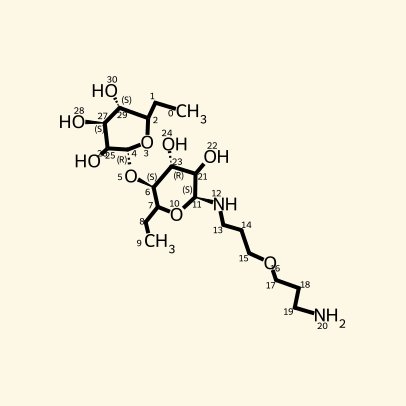 CCC1O[C@H](O[C@@H]2C(CC)O[C@H](NCCCOCCCN)C(O)[C@H]2O)C(O)[C@@H](O)[C@@H]1O